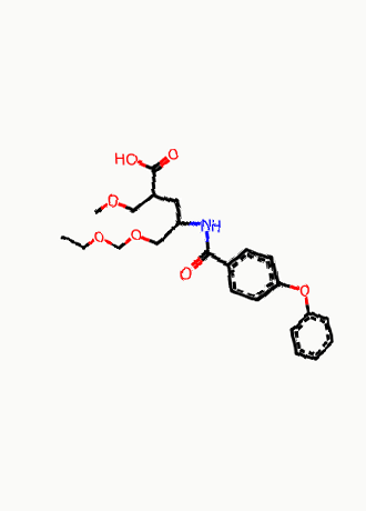 CCOCOCC(CC(COC)C(=O)O)NC(=O)c1ccc(Oc2ccccc2)cc1